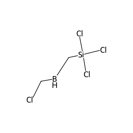 ClCBC[Si](Cl)(Cl)Cl